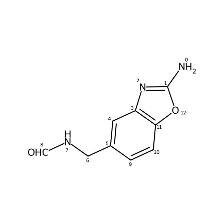 Nc1nc2cc(CNC=O)ccc2o1